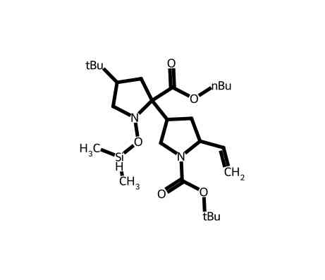 C=CC1CC(C2(C(=O)OCCCC)CC(C(C)(C)C)CN2O[SiH](C)C)CN1C(=O)OC(C)(C)C